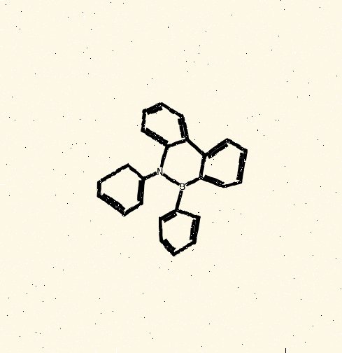 C1=CCCC(N2B(c3ccccc3)c3ccccc3-c3ccccc32)=C1